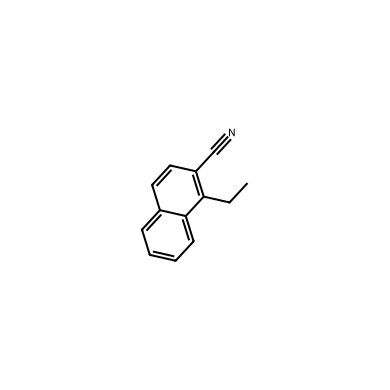 CCc1c(C#N)ccc2ccccc12